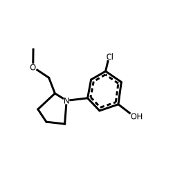 COCC1CCCN1c1cc(O)cc(Cl)c1